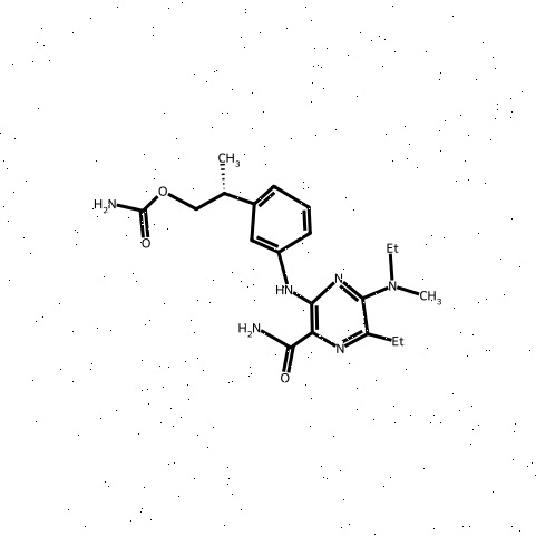 CCc1nc(C(N)=O)c(Nc2cccc([C@@H](C)COC(N)=O)c2)nc1N(C)CC